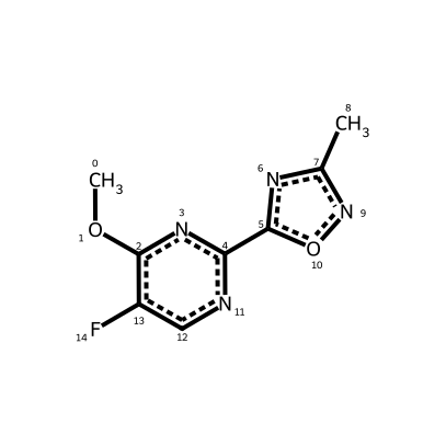 COc1nc(-c2nc(C)no2)ncc1F